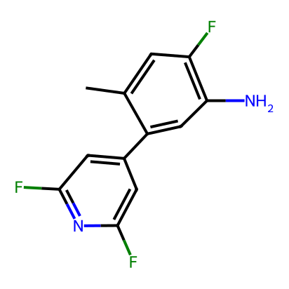 Cc1cc(F)c(N)cc1-c1cc(F)nc(F)c1